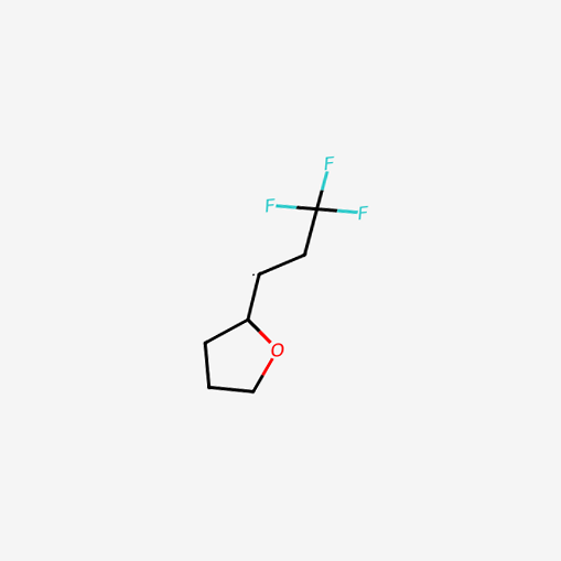 FC(F)(F)C[CH]C1CCCO1